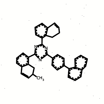 CC1C=Cc2cccc(-c3nc(-c4ccc(-c5cccc6ccccc56)cc4)nc(-c4cccc5c4CCC=C5)n3)c2C1